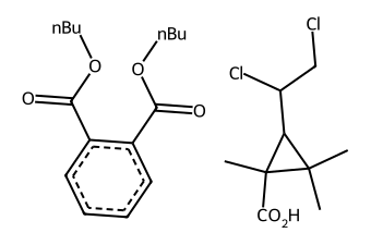 CC1(C)C(C(Cl)CCl)C1(C)C(=O)O.CCCCOC(=O)c1ccccc1C(=O)OCCCC